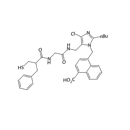 CCCCc1nc(Cl)c(CNC(=O)CNC(=O)C(CS)Cc2ccccc2)n1Cc1ccc(C(=O)O)c2ccccc12